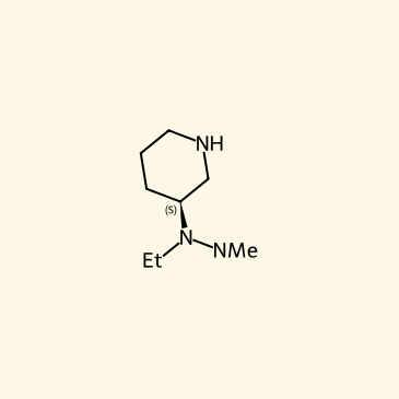 CCN(NC)[C@H]1CCCNC1